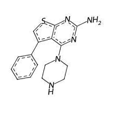 Nc1nc(N2CCNCC2)c2c(-c3ccccc3)csc2n1